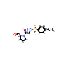 Cc1ccc(S(=O)(=O)NCC(=O)N2CCC[C@H]2[C]=O)cc1